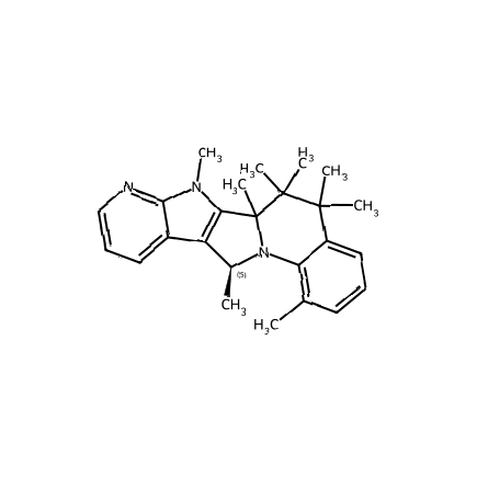 Cc1cccc2c1N1[C@@H](C)c3c(n(C)c4ncccc34)C1(C)C(C)(C)C2(C)C